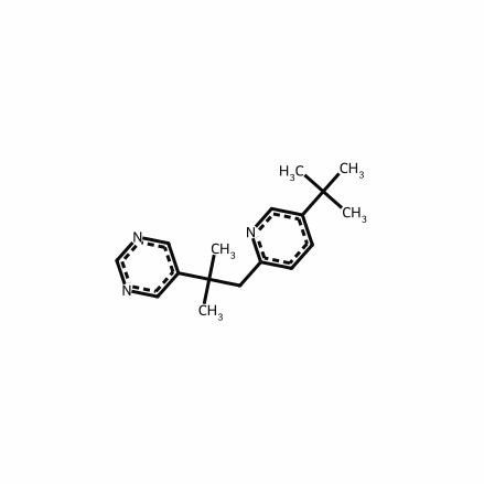 CC(C)(C)c1ccc(CC(C)(C)c2cncnc2)nc1